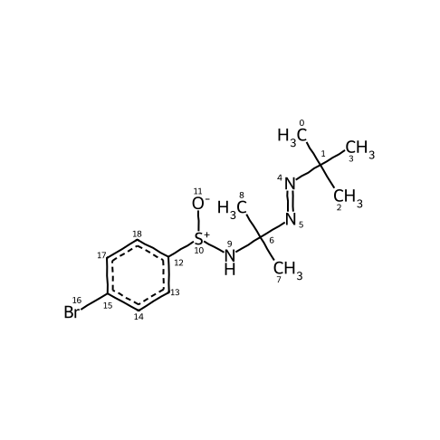 CC(C)(C)N=NC(C)(C)N[S+]([O-])c1ccc(Br)cc1